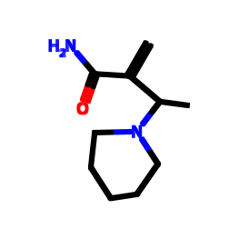 C=C(C(N)=O)C(C)N1CCCCC1